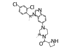 C[C@@H]1CN(c2ccc3ncn([C@H](C)c4ccc(Cl)cc4Cl)c3c2)CCN1C(=O)C1CCN1